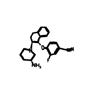 N#Cc1ccc(O[C@H]2c3ccccc3CC[C@@H]2N2CCC[C@@H](N)C2)c(F)c1